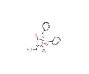 CC[C@H]1SC(=O)[C@H](OCc2ccccc2)[C@@H](OCc2ccccc2)[C@@H]1C